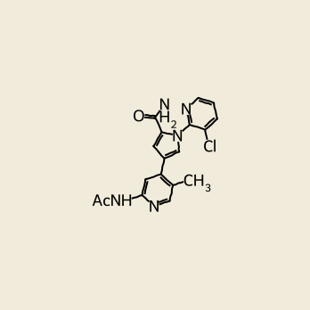 CC(=O)Nc1cc(-c2cc(C(N)=O)n(-c3ncccc3Cl)c2)c(C)cn1